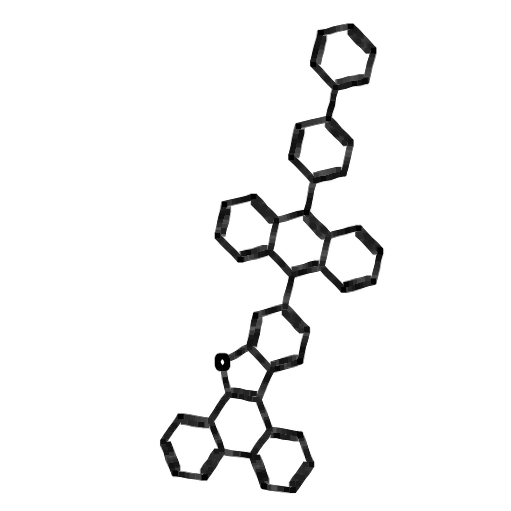 c1ccc(-c2ccc(-c3c4ccccc4c(-c4ccc5c(c4)oc4c6ccccc6c6ccccc6c54)c4ccccc34)cc2)cc1